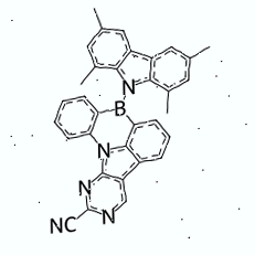 Cc1cc(C)c2c(c1)c1cc(C)cc(C)c1n2B1c2ccccc2-n2c3nc(C#N)ncc3c3cccc1c32